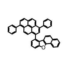 c1ccc(-c2ccc3ccc4c(-c5ccccc5)cc(-c5cccc6oc7c8ccccc8ccc7c56)c5ccc2c3c45)cc1